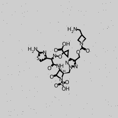 NCC1CN(C(=O)OCc2cnn(C[C@@H]3[C@H](NC(=O)C(=NOC4(C(=O)O)CC4)c4csc(N)n4)C(=O)N3S(=O)(=O)O)n2)C1